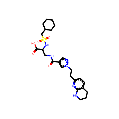 O=C(NCC(NS(=O)(=O)CC1CCCCC1)C(=O)O)c1cnn(CCc2ccc3c(n2)NCCC3)c1